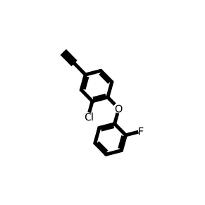 C#Cc1ccc(Oc2ccccc2F)c(Cl)c1